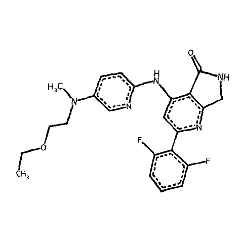 CCOCCN(C)c1ccc(Nc2cc(-c3c(F)cccc3F)nc3c2C(=O)NC3)nc1